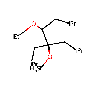 CCOC(CC(C)C)C(CC(C)C)(CC(C)C)O[SiH3]